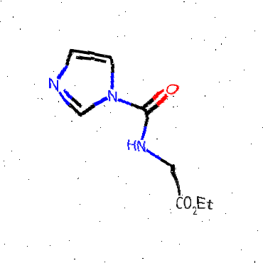 CCOC(=O)CNC(=O)n1ccnc1